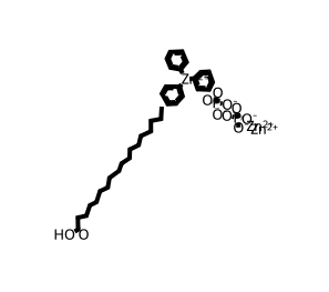 CCCCCCCCCCCCCCCCCC(=O)O.O=P([O-])([O-])[O-].O=P([O-])([O-])[O-].[Zn+2].[Zn+2].c1cc[c]([Zn+2]([c]2ccccc2)[c]2ccccc2)cc1